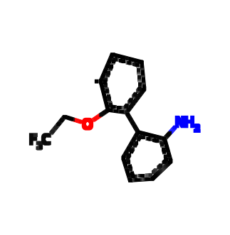 Nc1ccccc1-c1ccc[c]c1OCC(F)(F)F